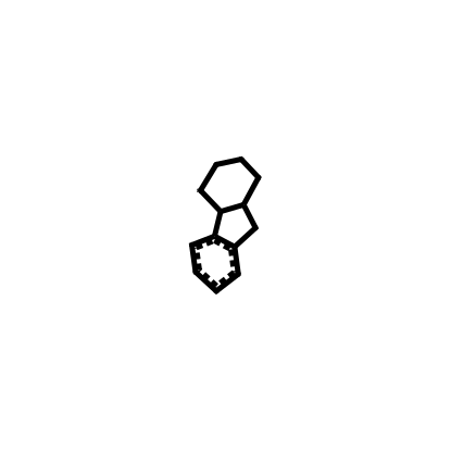 [C]1CCCC2Cc3ccccc3C12